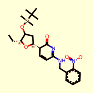 CC[C@H]1O[C@@H](C2C=CC(NCc3ccccc3[N+](=O)[O-])=NC2=O)CC1O[Si](C)(C)C(C)(C)C